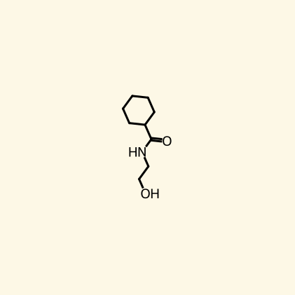 O=C(NCCO)C1CCCCC1